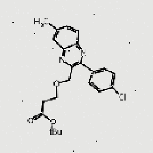 Cc1ccc2nc(-c3ccc(Cl)cc3)c(COCCC(=O)OC(C)(C)C)nc2c1